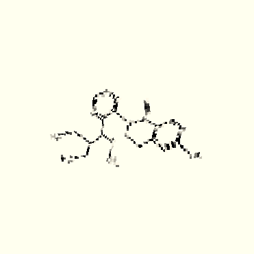 CCC(CC)C(OC)c1ccncc1N1CCc2cc(C)ccc2C1=O